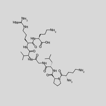 CC(C)C[C@H](NC(=O)[C@@H]1CCCN1C(=O)[C@@H](N)CCCN)C(=O)NCC(=O)N[C@H](C(=O)N[C@@H](CCCNC(=N)N)C(=O)N[C@@H](CCCN)C(=O)O)C(C)C